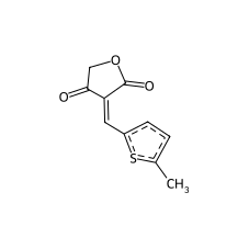 Cc1ccc(C=C2C(=O)COC2=O)s1